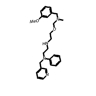 COc1cccc(CN(C)COCCNCCN(Cc2cccnc2)c2ccccc2)c1